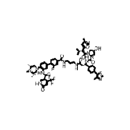 Cc1cc([C@H](C(=O)N2C[C@H](O)C[C@H]2C(=O)N[C@@H](CC(=O)NCCCNC(=O)c2ccc(-c3ccc(N4C[C@@H](C)N(C)[C@@H](C)C4)c(NC(=O)c4c[nH]c(=O)cc4C(F)(F)F)c3)c(F)c2)c2ccc(-c3scnc3C)cc2)C(C)C)on1